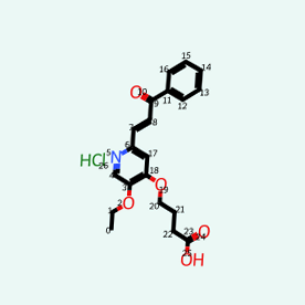 CCOc1cnc(/C=C/C(=O)c2ccccc2)cc1OCCCC(=O)O.Cl